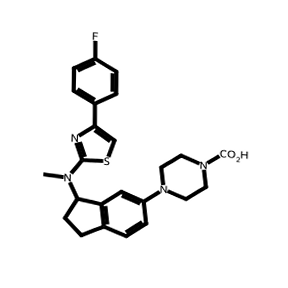 CN(c1nc(-c2ccc(F)cc2)cs1)C1CCc2ccc(N3CCN(C(=O)O)CC3)cc21